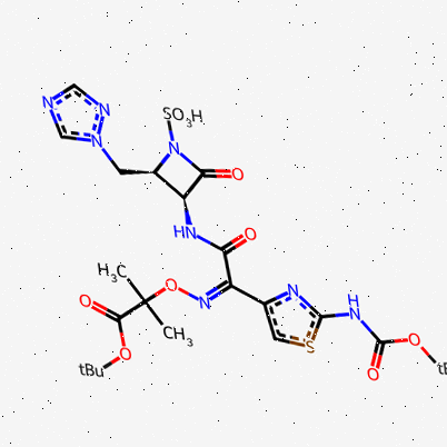 CC(C)(C)OC(=O)Nc1nc(C(=NOC(C)(C)C(=O)OC(C)(C)C)C(=O)N[C@@H]2C(=O)N(S(=O)(=O)O)[C@@H]2Cn2cncn2)cs1